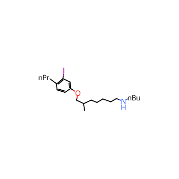 CCCCNCCCCCC(C)COc1ccc(CCC)c(I)c1